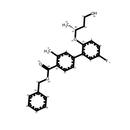 Cc1cc(-c2cc(F)ccc2O[C@H](C)CCO)ccc1C(=O)OCc1ccccc1